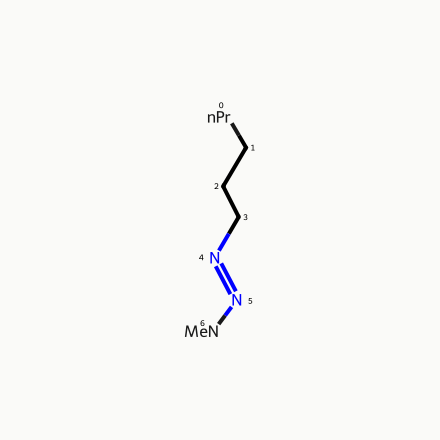 CCCCCCN=NNC